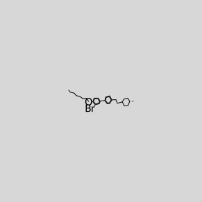 CCCCCCCOc1ccc(-c2ccc(CCC3CC[CH]CC3)cc2)cc1Br